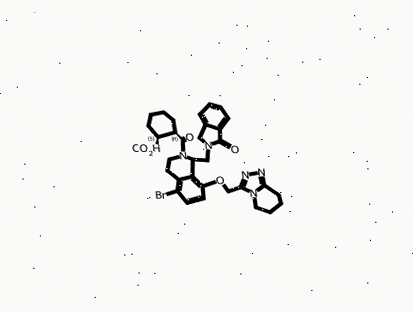 O=C(O)[C@H]1CCCC[C@H]1C(=O)N1CCc2c(Br)ccc(OCc3nnc4n3CCCC4)c2C1CN1Cc2ccccc2C1=O